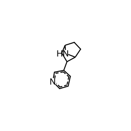 c1cncc(C2CC3CCC2N3)c1